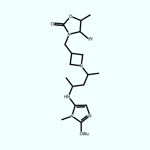 CC(C)COc1ncc(NC(C)CC(C)N2CC(CN3C(=O)OC(C)C3C(C)C)C2)n1C